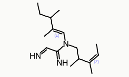 C/C=C(/C)C(C)CN(/C=C(\C)C(C)CC)C(=N)C=N